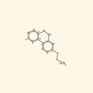 CCCc1ccc2c(c1)OCc1ccccc1-2